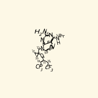 CC(C)Nc1nc(N)nc2c1ncn2CC1(OC(CC(F)(F)F)CC(F)(F)F)CC1